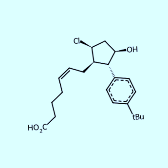 CC(C)(C)c1ccc([C@@H]2[C@@H](C/C=C\CCCC(=O)O)[C@@H](Cl)C[C@H]2O)cc1